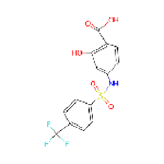 O=C(O)c1ccc(NS(=O)(=O)c2ccc(C(F)(F)F)cc2)cc1O